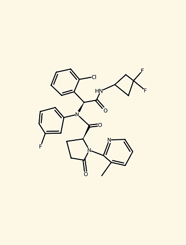 Cc1cccnc1N1C(=O)CC[C@H]1C(=O)N(c1cccc(F)c1)[C@H](C(=O)NC1CC(F)(F)C1)c1ccccc1Cl